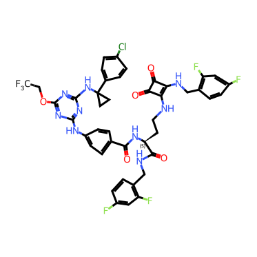 O=C(N[C@@H](CCNc1c(NCc2ccc(F)cc2F)c(=O)c1=O)C(=O)NCc1ccc(F)cc1F)c1ccc(Nc2nc(NC3(c4ccc(Cl)cc4)CC3)nc(OCC(F)(F)F)n2)cc1